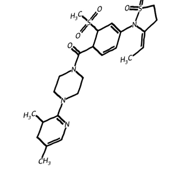 C/C=C1/CCS(=O)(=O)N1C1=CC(S(C)(=O)=O)C(C(=O)N2CCN(C3=NC=C(C)CC3C)CC2)C=C1